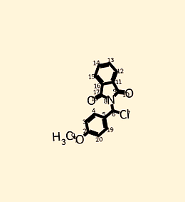 COc1ccc(C(Cl)N2C(=O)c3ccccc3C2=O)cc1